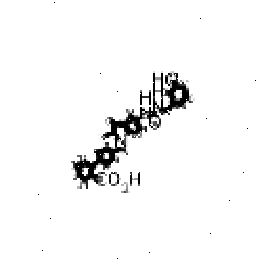 Cc1c(C)n(Cc2ccc(-c3ccccc3C(=O)O)cc2)c2ccc(NC(=O)NCc3cccc(O)c3)cc12